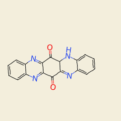 O=C1C2=Nc3ccccc3NC2C(=O)c2nc3ccccc3nc21